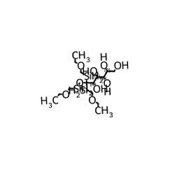 CCOC[SiH2]OC([SiH2]COCC)([SiH2]COCC)[C@H](O)[C@@H](O)[C@H](O)[C@H](O)CO